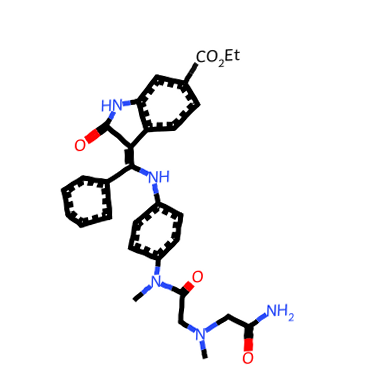 CCOC(=O)c1ccc2c(c1)NC(=O)C2=C(Nc1ccc(N(C)C(=O)CN(C)CC(N)=O)cc1)c1ccccc1